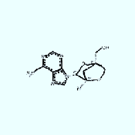 Nc1ncnc2c1ncn2[C@@H]1O[C@@]2(CO)CO[C@@H]1C2